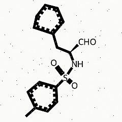 Cc1ccc(S(=O)(=O)N[C@H](C=O)Cc2ccccc2)cc1